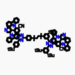 CC(C)(C)c1ccc(-c2nc(-c3ccc(C(C)(C)CCC(C)(C)c4cc(-c5nc(-c6cc(C(C)(C)C)cc(C(C)(C)C)c6)nc(-c6cc(C#N)c(-n7c8ccccc8c8ccccc87)c(-c7ccncc7-n7c8ccccc8c8ccccc87)c6)n5)cc(C(C)(C)C)c4)cc3)nc(-c3cc(C#N)c(-n4c5ccccc5c5ccccc54)c(-c4ccncc4-n4c5ccccc5c5ccccc54)c3)n2)cc1